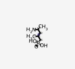 C/C(=C\C(C)N)CP(=O)(O)O